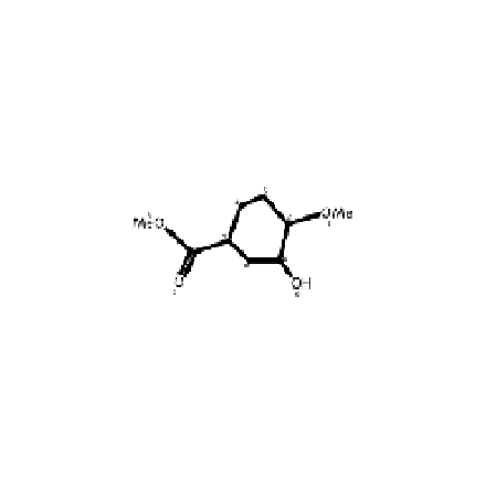 COC(=O)C1CCC(OC)C(O)C1